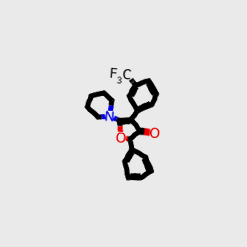 O=C1C(c2cccc(C(F)(F)F)c2)=C(N2CCCCC2)OC1c1ccccc1